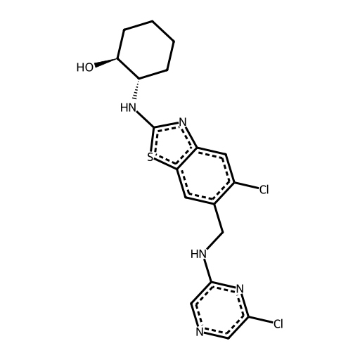 O[C@H]1CCCC[C@@H]1Nc1nc2cc(Cl)c(CNc3cncc(Cl)n3)cc2s1